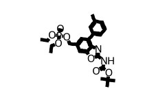 CCOP(=O)(OCC)OCc1cc(-c2cccc(C)c2)c2nc(NC(=O)OC(C)(C)C)oc2c1